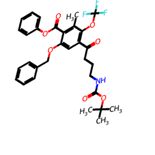 Cc1c(OC(F)(F)F)c(C(=O)CCCNC(=O)OC(C)(C)C)cc(OCc2ccccc2)c1C(=O)Oc1ccccc1